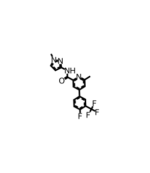 Cc1cc(-c2ccc(F)c(C(F)(F)F)c2)cc(C(=O)Nc2ccn(C)n2)n1